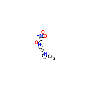 O=C1NC2(CO1)CC(C(=O)N1CCC3(CC1)CC(c1cccc(C(F)(F)F)n1)C3)C2